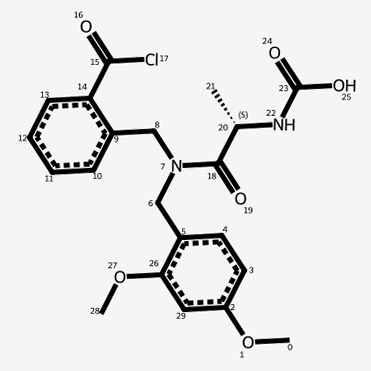 COc1ccc(CN(Cc2ccccc2C(=O)Cl)C(=O)[C@H](C)NC(=O)O)c(OC)c1